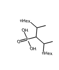 CCCCCCC(C)C(C(C)CCCCCC)P(=O)(O)O